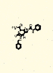 NC(=O)C1c2nn(C(=O)Nc3ccccc3)cc2[C@H]2CN1C(=O)N2OCc1ccccc1